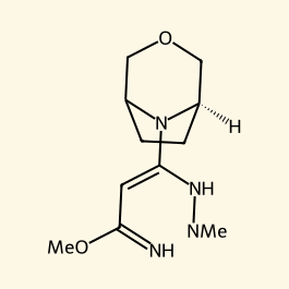 CNN/C(=C\C(=N)OC)N1C2CC[C@@H]1COC2